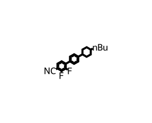 CCCCC1CCC(c2ccc(-c3ccc(C#N)c(F)c3F)cc2)CC1